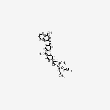 CCOC(CN(C)CC(C)c1ccc(N(C)c2ccc(Oc3nc(O)c4ccncc4n3)cc2)cc1)OCC